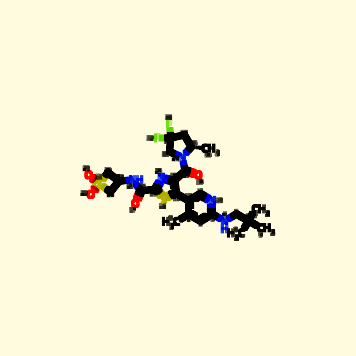 Cc1cc(NCC(C)(C)C)ncc1-c1sc(C(=O)NC2CS(=O)(=O)C2)nc1C(=O)N1CC(F)(F)C[C@@H]1C